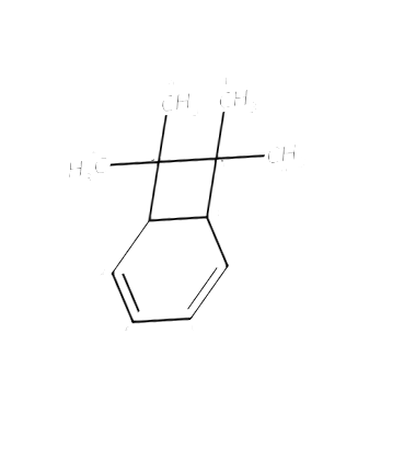 CC1(C)C2C=CC=CC2C1(C)C